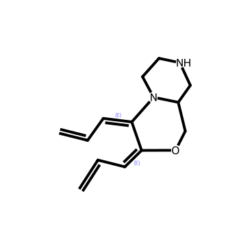 C=C/C=C1/OCC2CNCCN2/C1=C/C=C